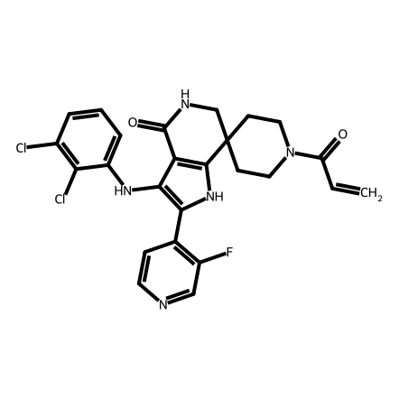 C=CC(=O)N1CCC2(CC1)CNC(=O)c1c2[nH]c(-c2ccncc2F)c1Nc1cccc(Cl)c1Cl